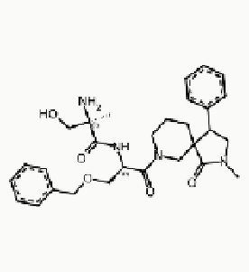 CN1CC(c2ccccc2)C2(CCCN(C(=O)[C@@H](COCc3ccccc3)NC(=O)[C@](C)(N)CO)C2)C1=O